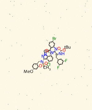 COc1ccc(CN(c2nn(C)c3c(-n4c([C@H](Cc5cc(F)cc(F)c5)NC(=O)OC(C)(C)C)nc5cc(Br)ccc5c4=O)ccc(Cl)c23)S(C)(=O)=O)cc1